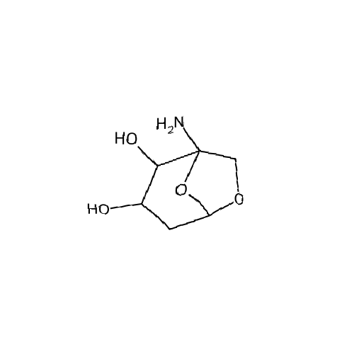 NC12COC(CC(O)C1O)O2